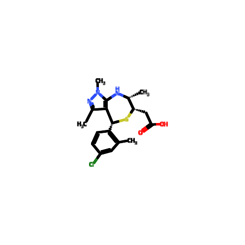 Cc1cc(Cl)ccc1[C@H]1S[C@@H](CC(=O)O)[C@@H](C)Nc2c1c(C)nn2C